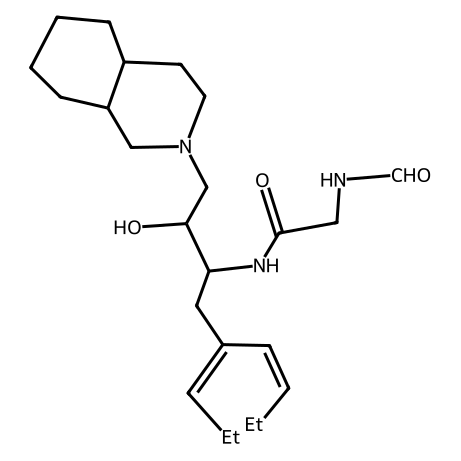 CC/C=C\C(=C/CC)CC(NC(=O)CNC=O)C(O)CN1CCC2CCCCC2C1